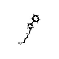 CCCCOCc1nc(-c2ccccc2)co1